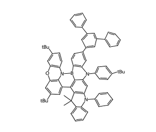 CC(C)(C)c1ccc(N2c3cc(-c4cc(-c5ccccc5)cc(-c5ccccc5)c4)ccc3B3c4c2cc2c(c4-c4cc(C(C)(C)C)cc5c4N3c3ccc(C(C)(C)C)cc3O5)C(C)(C)c3ccccc3N2c2ccccc2)cc1